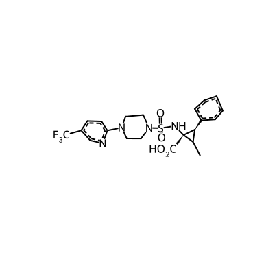 CC1[C@H](c2ccccc2)[C@]1(NS(=O)(=O)N1CCN(c2ccc(C(F)(F)F)cn2)CC1)C(=O)O